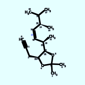 C#CC[C@@H]1OC(C)(C)O[C@@H]1[C@H](C)/C=C\[C@@H](C)C(C)C